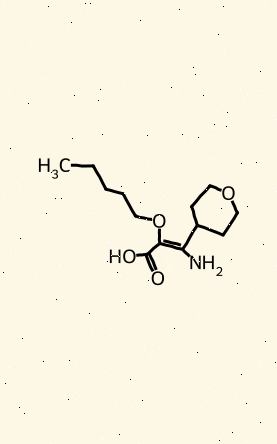 CCCCCOC(C(=O)O)=C(N)C1CCOCC1